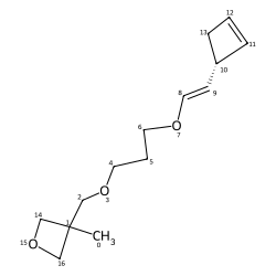 CC1(COCCCO/C=C/[C@H]2C=CC2)COC1